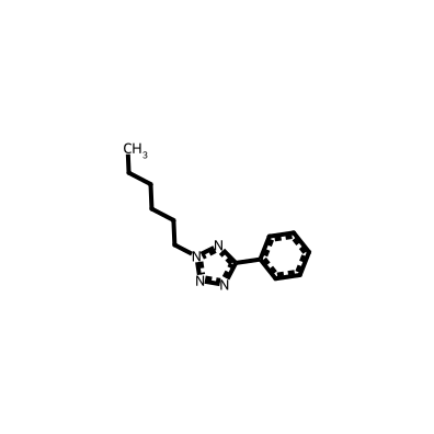 CCCCCCn1nnc(-c2ccccc2)n1